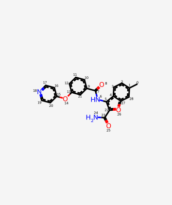 Cc1ccc2c(NC(=O)c3cccc(Oc4ccncc4)c3)c(C(N)=O)oc2c1